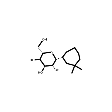 CC1(C)CC[CH]CC([C@H]2S[C@@H](CO)[C@H](O)[C@H](O)[C@H]2O)C1